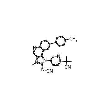 Cn1/c(=N/C#N)n(-c2ccc(C(C)(C)C#N)nc2)c2c3cc(-c4ccc(C(F)(F)F)cc4)ccc3ncc21